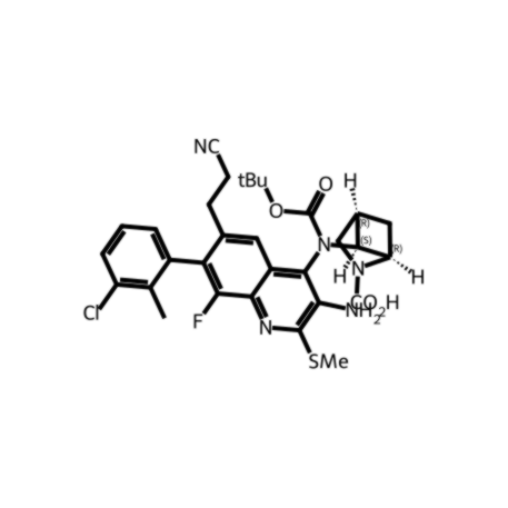 CSc1nc2c(F)c(-c3cccc(Cl)c3C)c(CCC#N)cc2c(N(C(=O)OC(C)(C)C)[C@H]2[C@@H]3C[C@H]2N(C(=O)O)C3)c1N